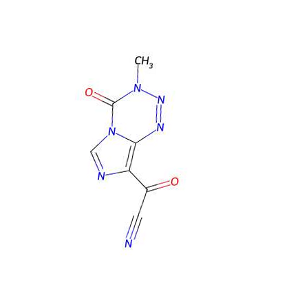 Cn1nnc2c(C(=O)C#N)ncn2c1=O